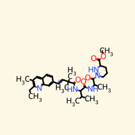 CCc1nc2cc(/C=C/C(C)(C)C(=O)NC(C(=O)NC(C)C(=O)N3CCCC(C(=O)OC)N3)C(C)C)ccc2cc1C